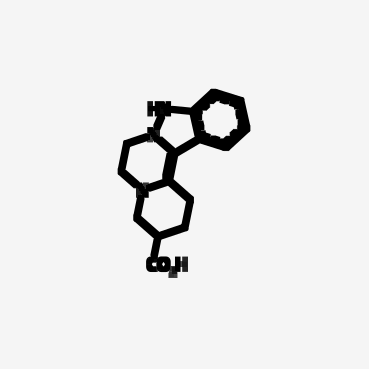 O=C(O)C1CCC2=C3c4ccccc4NN3CCN2C1